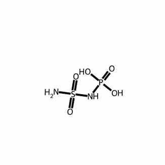 NS(=O)(=O)NP(=O)(O)O